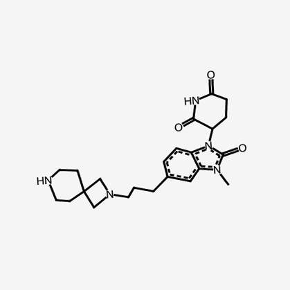 Cn1c(=O)n(C2CCC(=O)NC2=O)c2ccc(CCCN3CC4(CCNCC4)C3)cc21